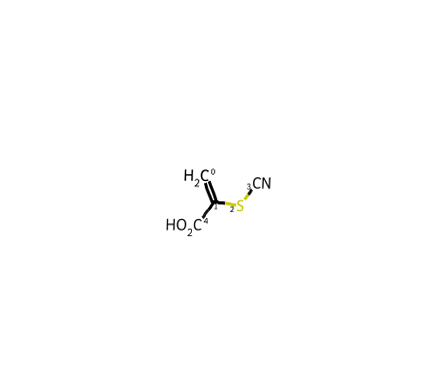 C=C(SC#N)C(=O)O